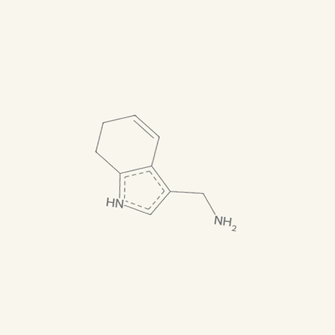 NCc1c[nH]c2c1C=CCC2